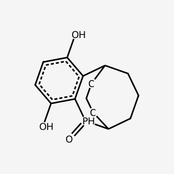 O=[PH]1c2c(O)ccc(O)c2C2CCCC1CCC2